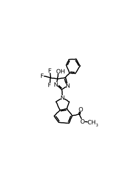 COC(=O)c1cccc2c1CN(C1=NC(O)(C(F)(F)F)C(c3ccccc3)=N1)C2